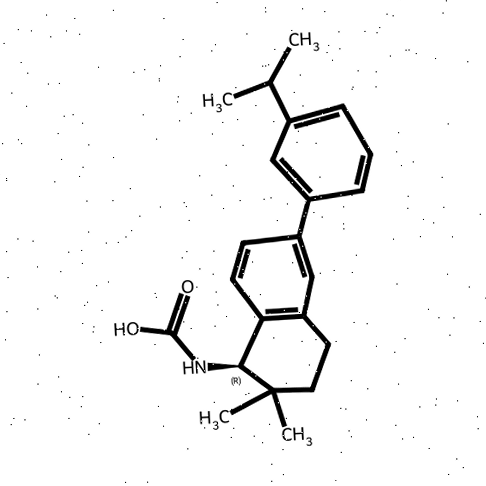 CC(C)c1cccc(-c2ccc3c(c2)CCC(C)(C)[C@H]3NC(=O)O)c1